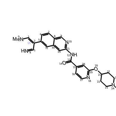 CN/C=C(\C=N)c1ccc2cnc(NC(=O)c3ccnc(OC4CCN(C)CC4)c3)cc2c1